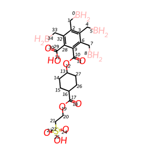 BCc1c(CB)c(CB)c(C(=O)OC2CCC(C(=O)OCCS(=O)(=O)O)CC2)c(C(=O)O)c1CB